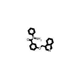 NN(C(=O)c1cccc(OCc2cncc3ccccc23)c1)c1ccccc1